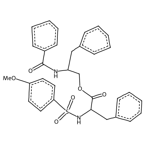 COc1ccc(S(=O)(=O)NC(Cc2ccccc2)C(=O)OCC(Cc2ccccc2)NC(=O)c2ccccc2)cc1